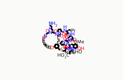 CN[C@@H](CSCc1cc2cc(c1)OCCCCCCO/N=C/C(=O)N[C@@H](CCCCN)C(=O)N[C@H](C(=O)N1CCC[C@H]1C(=O)N[C@@H](CC(C)C)C(=O)N[C@@H](CC(=O)OOC)C(=O)N[C@@H](C)C(=O)N1CCC[C@H]1C(=O)N[C@@H](Cc1ccc(O)cc1)C(=O)N[C@H](C=O)CCC(=O)O)CSC2)C(N)=O